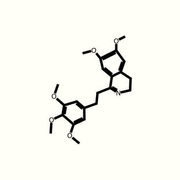 COc1cc2c(cc1OC)C(CCc1cc(OC)c(OC)c(OC)c1)=NCC2